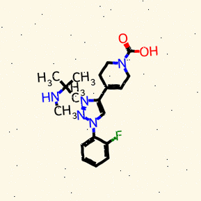 CNC(C)(C)C.O=C(O)N1CC=C(c2cn(-c3ccccc3F)nn2)CC1